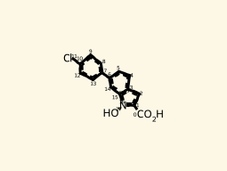 O=C(O)c1cc2ccc(-c3ccc(Cl)cc3)cc2n1O